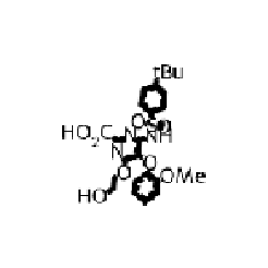 COc1ccccc1Oc1c(NS(=O)(=O)c2ccc(C(C)(C)C)cc2)nc(C(=O)O)nc1OCCO